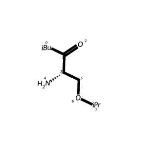 CCC(C)C(=O)[C@@H](N)COC(C)C